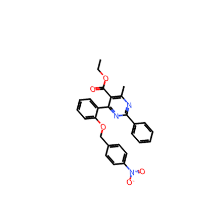 CCOC(=O)c1c(C)nc(-c2ccccc2)nc1-c1ccccc1OCc1ccc([N+](=O)[O-])cc1